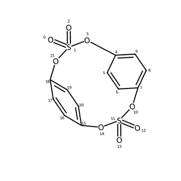 O=S1(=O)Oc2ccc(cc2)OS(=O)(=O)Oc2ccc(cc2)O1